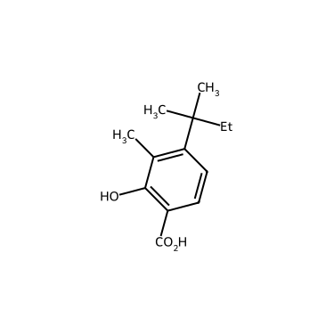 CCC(C)(C)c1ccc(C(=O)O)c(O)c1C